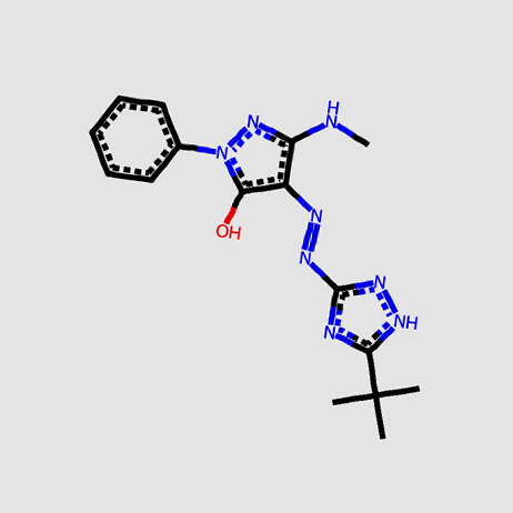 CNc1nn(-c2ccccc2)c(O)c1N=Nc1n[nH]c(C(C)(C)C)n1